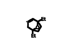 CCC12C=[C]CC(CC)(CC1)O2